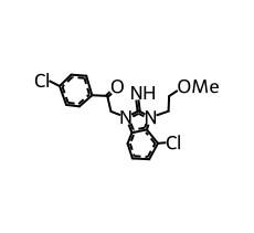 COCCn1c(=N)n(CC(=O)c2ccc(Cl)cc2)c2cccc(Cl)c21